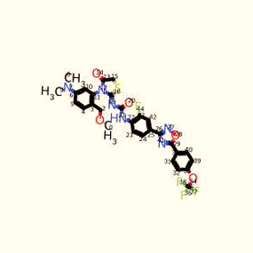 COCc1ccc(N(C)C)cc1N1C(=O)CS/C1=N\C(=O)Nc1ccc(-c2noc(-c3ccc(OC(F)(F)F)cc3)n2)cc1F